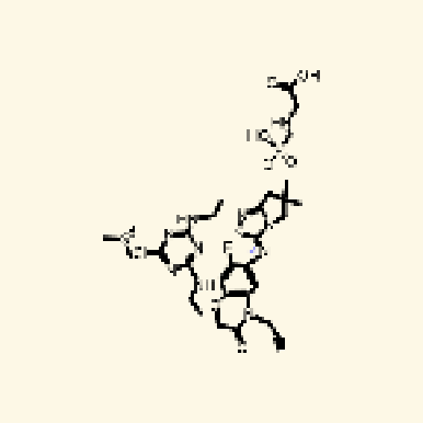 C#CCN1C(=O)COc2cc(F)c(/N=c3\snc4n3CC(C)(C)C4)cc21.CCNc1nc(Cl)nc(NCC)n1.C[S+](C)C.O=C(O)CNCP(=O)([O-])O